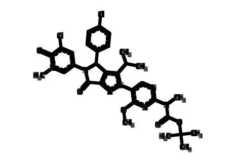 COc1nc(N(C)C(=O)OC(C)(C)C)ncc1-n1nc2c(c1C(C)C)C(c1ccc(Cl)cc1)N(c1cc(Cl)c(=O)n(C)c1)C2=O